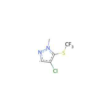 Cn1n[c]c(Cl)c1SC(F)(F)F